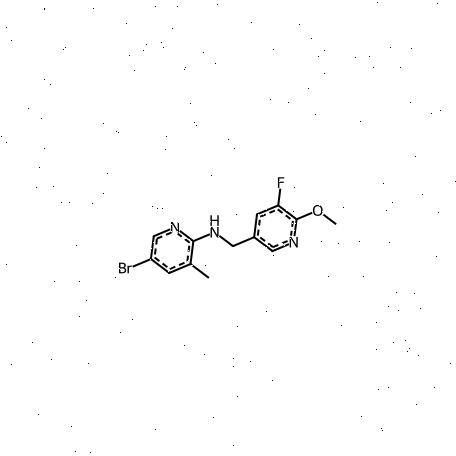 COc1ncc(CNc2ncc(Br)cc2C)cc1F